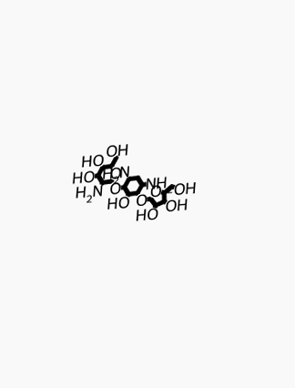 NC1CC(N)C(OC2OC(CO)C(O)C2O)C(O)C1OC1OC(CO)C(O)C(O)C1N